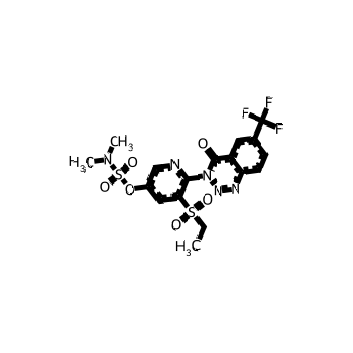 CCS(=O)(=O)c1cc(OS(=O)(=O)N(C)C)cnc1-n1nnc2ccc(C(F)(F)F)cc2c1=O